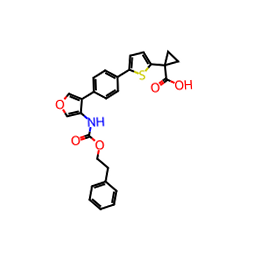 O=C(Nc1cocc1-c1ccc(-c2ccc(C3(C(=O)O)CC3)s2)cc1)OCCc1ccccc1